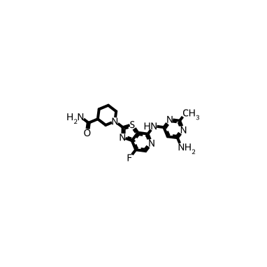 Cc1nc(N)cc(Nc2ncc(F)c3nc(N4CCCC(C(N)=O)C4)sc23)n1